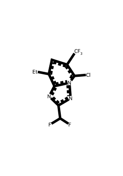 CCc1cc(C(F)(F)F)c(Cl)n2nc(C(F)F)nc12